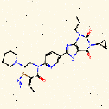 CCCn1c(=O)n(C2CC2)c(=O)c2[nH]c(-c3ccc(N(CCN4CCCCC4)C(=O)c4snnc4C)nc3)nc21